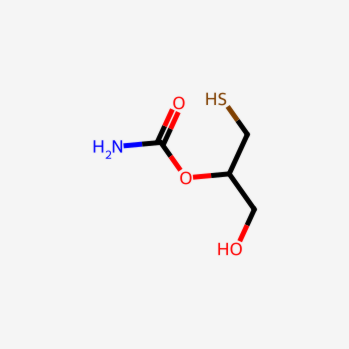 NC(=O)OC(CO)CS